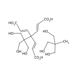 CC(CO)(CO)CO.O=C(O)C=CC(C=CC(=O)O)(C=CC(=O)O)C(CO)(CO)CO